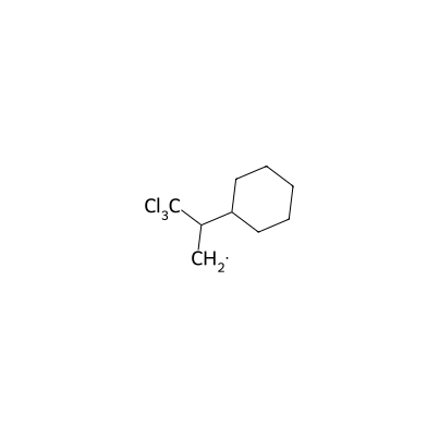 [CH2]C(C1CCCCC1)C(Cl)(Cl)Cl